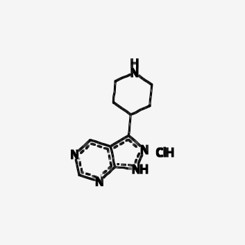 Cl.c1ncc2c(C3CCNCC3)n[nH]c2n1